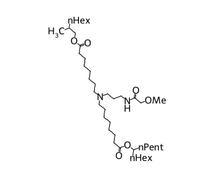 CCCCCCC(C)COC(=O)CCCCCCCN(CCCCCCCC(=O)OC(CCCCC)CCCCCC)CCCNC(=O)COC